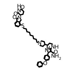 NC(=O)c1c(-c2ccc(Oc3ccccc3)cc2)nn2c1NCCC2C1CCN(CCCCCCCCCSc2cccc3c2CN(C2CCC(=O)NC2=O)C3=O)CC1